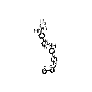 CC(=O)Nc1ccc(-c2ccnc(Nc3ccc(N4CCN(Cc5ccc(-c6cccs6)s5)CC4)cc3)n2)cc1